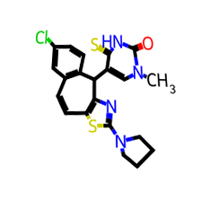 Cn1cc(C2c3ccc(Cl)cc3C=Cc3sc(N4CCCC4)nc32)c(=S)[nH]c1=O